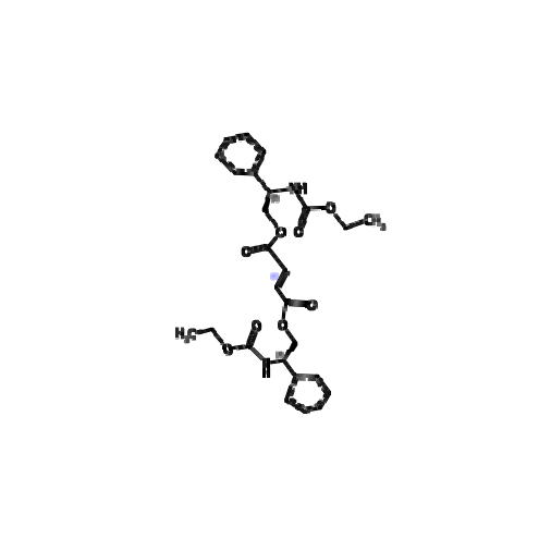 CCOC(=O)N[C@@H](COC(=O)/C=C/C(=O)OC[C@H](NC(=O)OCC)c1ccccc1)c1ccccc1